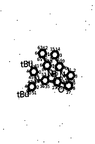 Cc1ccccc1N1c2ccc(-c3ccccc3)cc2B2c3c(cc4oc5ccccc5c4c31)-c1ccc(N(c3ccc(C(C)(C)C)cc3)c3ccc(C(C)(C)C)cc3)cc1N2c1ccc(-c2ccccc2)cc1